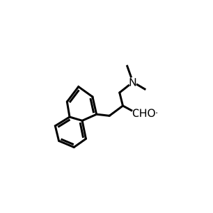 CN(C)CC([C]=O)Cc1cccc2ccccc12